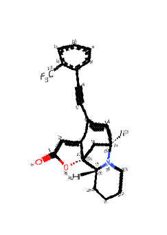 O=C1C=C2C(C#Cc3ccccc3C(F)(F)F)=C[C@@H]3C[C@@]2(O1)[C@H]1CCCCN31